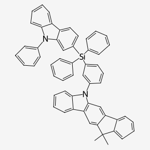 CC1(C)c2ccccc2-c2cc3c(cc21)c1ccccc1n3-c1cccc([Si](c2ccccc2)(c2ccccc2)c2ccc3c4ccccc4n(-c4ccccc4)c3c2)c1